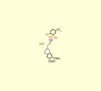 COc1cc2c(cc1OC)CN(CCCNS(=O)(=O)c1cc(C(F)(F)F)ccc1Cl)CC2.Cl